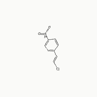 O=[SH](=O)c1ccc(C=CCl)cc1